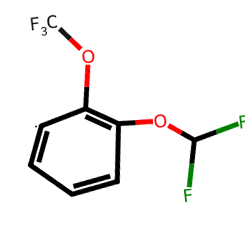 FC(F)Oc1ccc[c]c1OC(F)(F)F